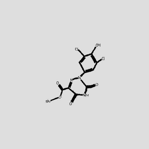 CC(C)(C)OC(=O)c1nn(-c2cc(Cl)c(O)c(Cl)c2)c(=O)[nH]c1=O